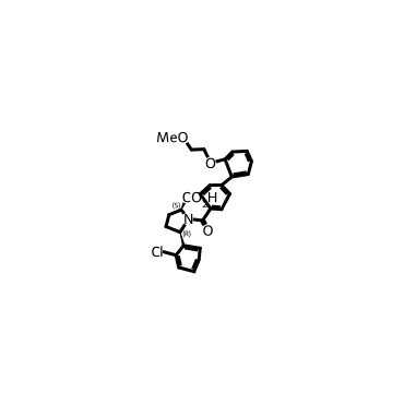 COCCOc1ccccc1-c1ccc(C(=O)N2[C@@H](c3ccccc3Cl)CC[C@H]2C(=O)O)cc1